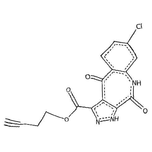 C#CCCOC(=O)c1n[nH]c2c(=O)[nH]c3cc(Cl)ccc3c(=O)c12